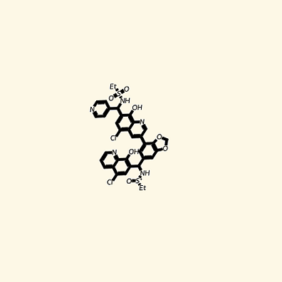 CC[S+]([O-])NC(c1cc2c(c(-c3cnc4c(O)c(C(NS(=O)(=O)CC)c5ccncc5)cc(Cl)c4c3)c1)OCO2)c1cc(Cl)c2cccnc2c1O